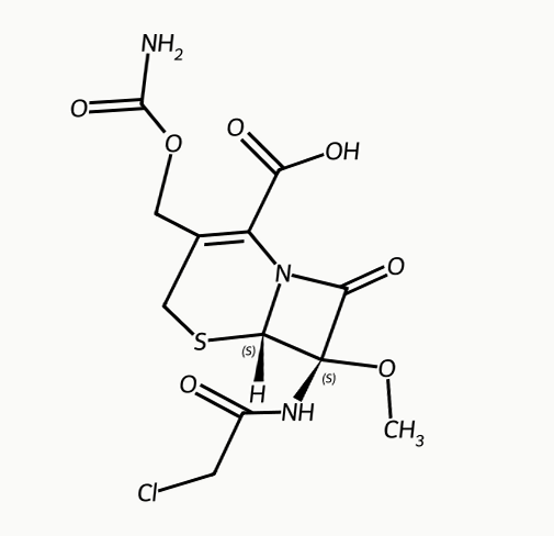 CO[C@@]1(NC(=O)CCl)C(=O)N2C(C(=O)O)=C(COC(N)=O)CS[C@H]21